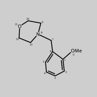 COc1ccccc1CN1CCOCC1